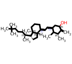 C=C1[C@H](O)C/C(=C/C=C2\CCC[C@]3(C)[C@@H]([C@@H](C)CCCC(C)(C)C)CC[C@@H]23)C(C)[C@H]1C